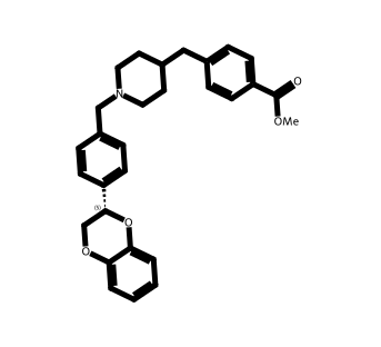 COC(=O)c1ccc(CC2CCN(Cc3ccc([C@H]4COc5ccccc5O4)cc3)CC2)cc1